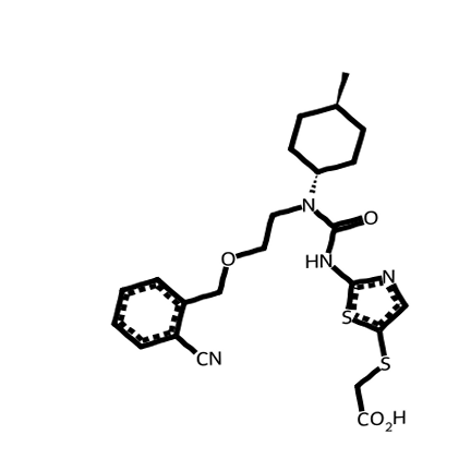 C[C@H]1CC[C@H](N(CCOCc2ccccc2C#N)C(=O)Nc2ncc(SCC(=O)O)s2)CC1